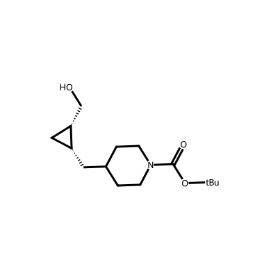 CC(C)(C)OC(=O)N1CCC(C[C@@H]2C[C@@H]2CO)CC1